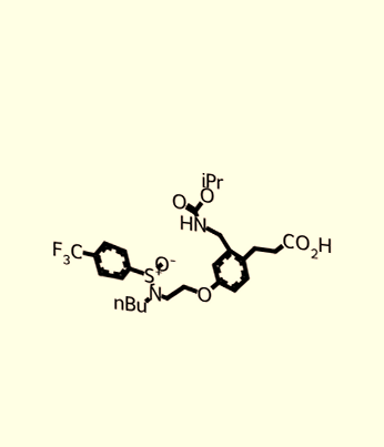 CCCCN(CCOc1ccc(CCC(=O)O)c(CNC(=O)OC(C)C)c1)[S+]([O-])c1ccc(C(F)(F)F)cc1